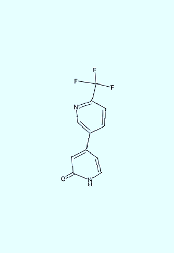 O=c1cc(-c2ccc(C(F)(F)F)nc2)cc[nH]1